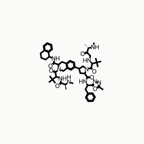 CN[C@@H](C)C(=O)CNC(C(=O)N1CC(c2ccc3c(c2)CN(C(=O)C(NC(=O)[C@H](C)NC)C(C)(C)C)C(C(=O)NC2CCCc4ccccc42)C3)CC1C(=O)NC(Cc1ccccc1)c1nnc(C)o1)C(C)(C)C